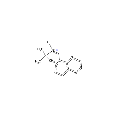 CC(C)(C)/[N+]([O-])=C\c1cccc2nccnc12